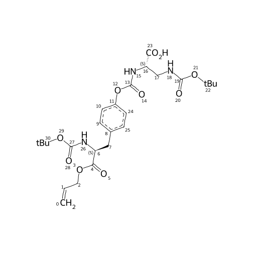 C=CCOC(=O)[C@H](Cc1ccc(OC(=O)N[C@@H](CNC(=O)OC(C)(C)C)C(=O)O)cc1)NC(=O)OC(C)(C)C